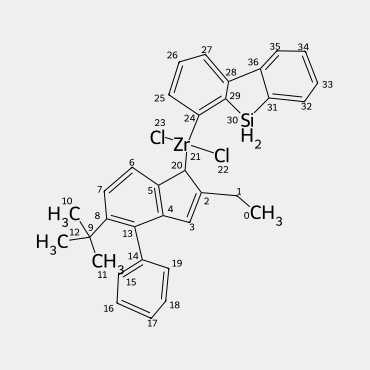 CCC1=Cc2c(ccc(C(C)(C)C)c2-c2ccccc2)[CH]1[Zr]([Cl])([Cl])[c]1cccc2c1[SiH2]c1ccccc1-2